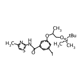 Cc1csc(NC(=O)c2cc(I)cc(OC(C)CO[Si](C)(C)C(C)(C)C)c2)n1